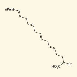 CCCCC/C=C/C/C=C/C/C=C/C/C=C/CCC(CC)C(=O)O